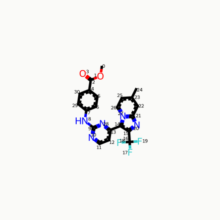 COC(=O)c1ccc(Nc2nccc(-c3c(C(F)(F)F)nc4cc(C)ccn34)n2)cc1